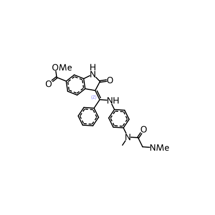 CNCC(=O)N(C)c1ccc(N/C(=C2\C(=O)Nc3cc(C(=O)OC)ccc32)c2ccccc2)cc1